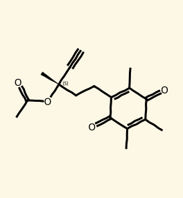 C#C[C@](C)(CCC1=C(C)C(=O)C(C)=C(C)C1=O)OC(C)=O